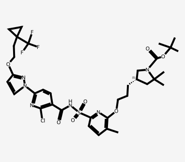 Cc1ccc(S(=O)(=O)NC(=O)c2ccc(-n3ccc(OCCC4(C(F)(F)F)CC4)n3)nc2Cl)nc1OCCC[C@@H]1CN(C(=O)OC(C)(C)C)C(C)(C)C1